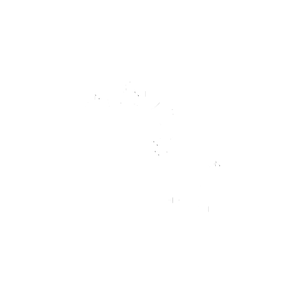 CC(C)OC1=CC=C(c2nnc(-c3cccc4c3CC[C@@H]4NS(=O)(=O)CC(=O)N(C)C)s2)CC1C#N